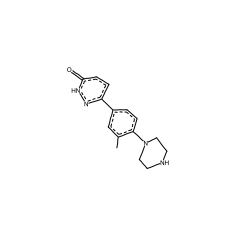 Cc1cc(-c2ccc(=O)[nH]n2)ccc1N1CCNCC1